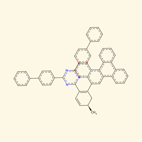 C[C@H]1C=CC(c2nc(-c3ccc(-c4ccccc4)cc3)nc(-c3ccc(-c4ccccc4)cc3)n2)=C(c2cc3c4ccccc4c4ccccc4c3c3ccccc23)C1